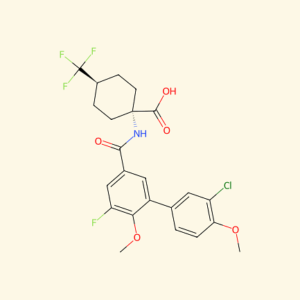 COc1ccc(-c2cc(C(=O)N[C@]3(C(=O)O)CC[C@@H](C(F)(F)F)CC3)cc(F)c2OC)cc1Cl